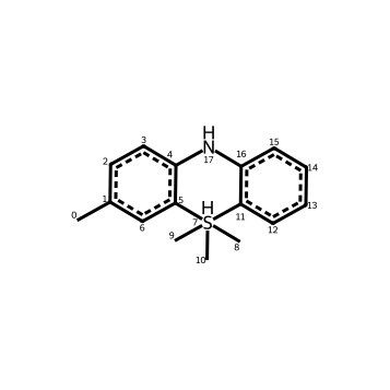 Cc1ccc2c(c1)[SH](C)(C)(C)c1ccccc1N2